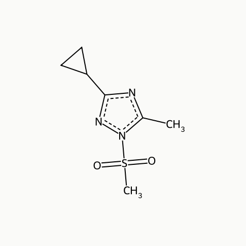 Cc1nc(C2CC2)nn1S(C)(=O)=O